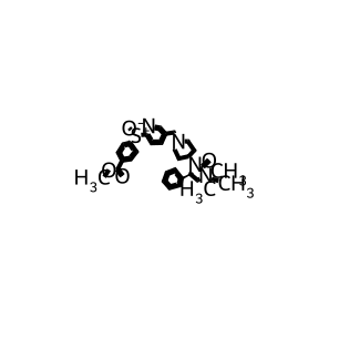 COC(=O)c1ccc([S+]([O-])c2ccc(CN3CCC(N4C(=O)N(C(C)(C)C)C[C@H]4c4ccccc4)CC3)cn2)cc1